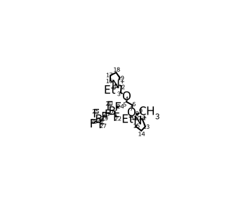 CC[N+]1(CCOCCOC(C)[N+]2(CC)CCCC2)CCCC1.F[B-](F)(F)F.F[B-](F)(F)F